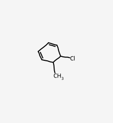 CC1C=CC=CC1Cl